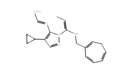 CC=C(NCC1=CCC=CC=C1)n1ncc(C2CC2)c1/N=C/NC